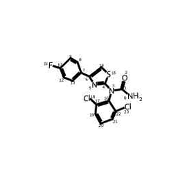 NC(=O)N(c1nc(-c2ccc(F)cc2)cs1)c1c(Cl)cccc1Cl